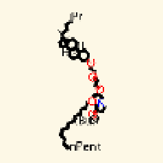 CCCCC/C=C\C/C=C\CCCCCCCCOCC(CN1CCC(O[Si](C)(C)C(C)(C)C)C1)OCCOCCO[C@H]1CC[C@@]2(C)C(=CC[C@H]3[C@@H]4CC[C@H]([C@H](C)CCCC(C)C)[C@@]4(C)CC[C@@H]32)C1